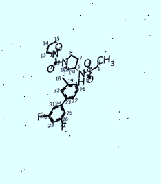 CCS(=O)(=O)N[C@H]1CCN(C(=O)N2CCCO2)[C@H]1Cc1cccc(-c2cc(F)cc(F)c2)c1